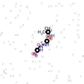 Cc1ccc(NS(=O)(=O)c2ccc(NC(=S)NC(=O)c3ccc([N+](=O)[O-])cc3)cc2)cc1C